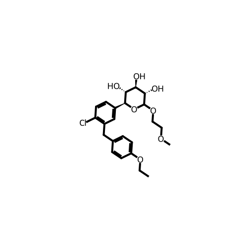 CCOc1ccc(Cc2cc([C@@H]3OC(OCCOC)[C@@H](O)[C@H](O)[C@H]3O)ccc2Cl)cc1